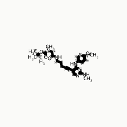 CNc1ncc(C#CCCCNC(=O)CN(C)C(=O)OC(C)(C)C)c(Nc2ccc(OC)nc2)n1